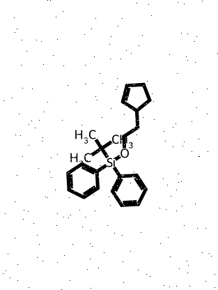 CC(C)(C)[Si](OCCC1C=CCC1)(c1ccccc1)c1ccccc1